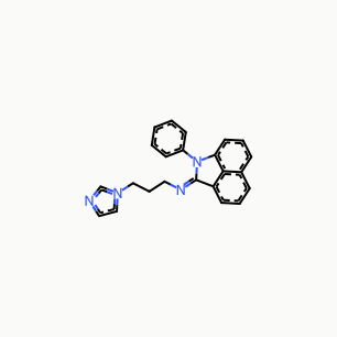 c1ccc(N2C(=NCCCn3ccnc3)c3cccc4cccc2c34)cc1